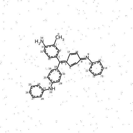 Cc1cc(C(=C2C=CC(=Nc3ccccc3)C=C2)c2ccc(Nc3ccccc3)cc2)ccc1N